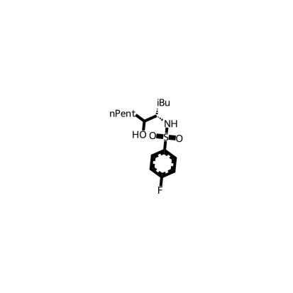 CCCCCC(O)[C@@H](NS(=O)(=O)c1ccc(F)cc1)[C@@H](C)CC